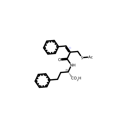 CC(=O)SC/C(=C/c1ccccc1)C(=O)N[C@@H](CCc1ccccc1)C(=O)O